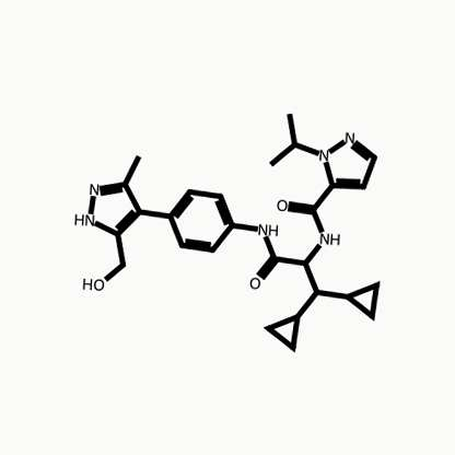 Cc1n[nH]c(CO)c1-c1ccc(NC(=O)C(NC(=O)c2ccnn2C(C)C)C(C2CC2)C2CC2)cc1